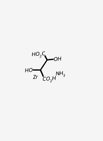 N.O=C(O)C(O)C(O)C(=O)O.[Zr]